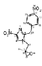 C[C@@]1(Cn2cc([N+](=O)[O-])nc2Sc2ccc([N+](=O)[O-])cc2)CO1